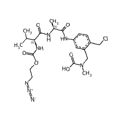 CC(C)[C@H](NC(=O)OCCN=[N+]=[N-])C(=O)N[C@@H](C)C(=O)Nc1ccc(CCl)c(CN(C)C(=O)O)c1